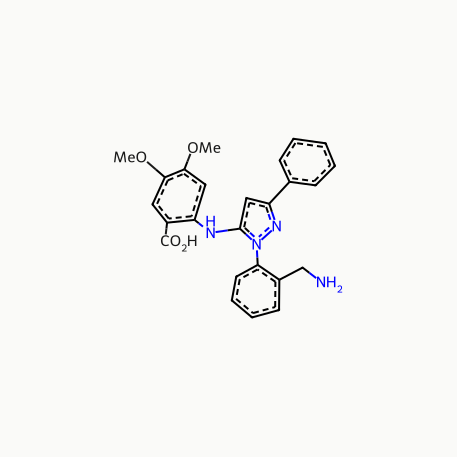 COc1cc(Nc2cc(-c3ccccc3)nn2-c2ccccc2CN)c(C(=O)O)cc1OC